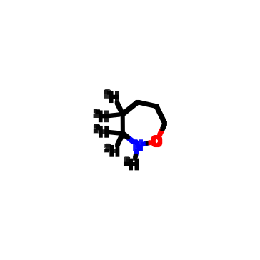 [2H]N1OCCCC([2H])([2H])C1([2H])[2H]